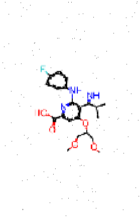 COCC(COC)Oc1cc(C(=O)O)nc(Nc2ccc(F)cc2)c1C(=N)C(C)C